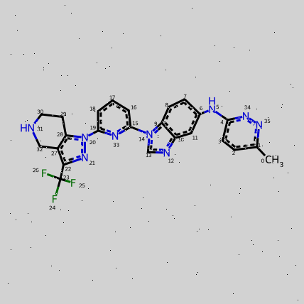 Cc1ccc(Nc2ccc3c(c2)ncn3-c2cc[c]c(-n3nc(C(F)(F)F)c4c3CCNC4)n2)nn1